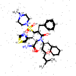 CC(C)C[C@H](O)[C@H](O)[C@H](CC1CCCCC1)N(C(=O)[C@H](Cc1ccccc1)CS(=O)(=O)N1CCN(C)CC1)[C@@H](Cc1cscn1)C(N)=O